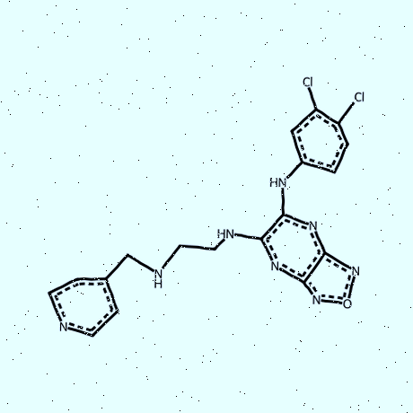 Clc1ccc(Nc2nc3nonc3nc2NCCNCc2ccncc2)cc1Cl